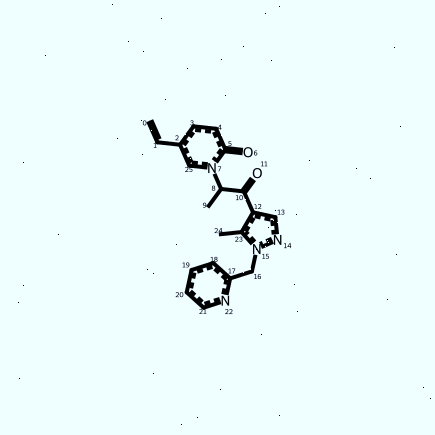 C=Cc1ccc(=O)n(C(C)C(=O)c2cnn(Cc3ccccn3)c2C)c1